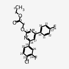 CCOC(=O)COc1nc(-c2ccc(F)cc2)cc(-c2ccc(Cl)c(F)c2)n1